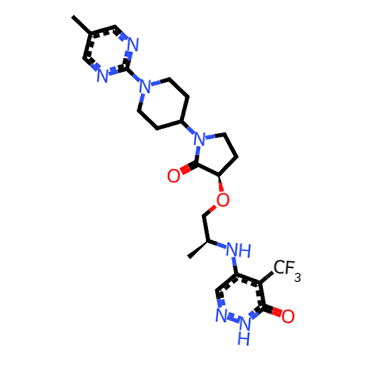 Cc1cnc(N2CCC(N3CC[C@@H](OC[C@H](C)Nc4cn[nH]c(=O)c4C(F)(F)F)C3=O)CC2)nc1